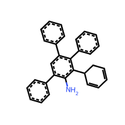 Nc1c(-c2ccccc2)cc(-c2ccccc2)c(-c2ccccc2)c1C1C=CC=CC1